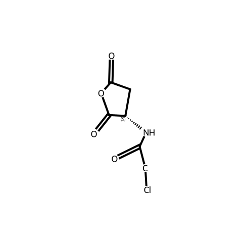 O=C(CCl)N[C@H]1CC(=O)OC1=O